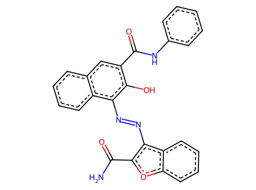 NC(=O)c1oc2ccccc2c1/N=N/c1c(O)c(C(=O)Nc2ccccc2)cc2ccccc12